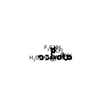 CN1CCC(N2CCN(C(=O)[C@H](CC(=O)N3CCC(N4CCc5ccccc5NC4=O)CC3)Cc3cc(C(F)(F)F)c(N)c(C(F)(F)F)c3)CC2)CC1